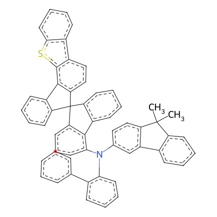 CC1(C)c2ccccc2-c2cc(N(c3ccccc3-c3ccccc3)c3cccc4c3-c3ccccc3C43c4ccccc4-c4c3ccc3c4sc4ccccc43)ccc21